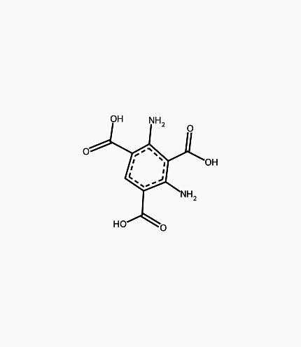 Nc1c(C(=O)O)cc(C(=O)O)c(N)c1C(=O)O